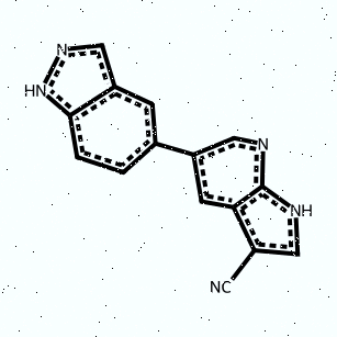 N#Cc1c[nH]c2ncc(-c3ccc4[nH]ncc4c3)cc12